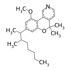 CCCCCC(C)C(C)c1cc(OC)c2c(c1)OC(C)(C)c1ccncc1-2